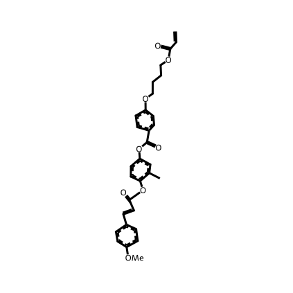 C=CC(=O)OCCCCOc1ccc(C(=O)Oc2ccc(OC(=O)/C=C/c3ccc(OC)cc3)c(C)c2)cc1